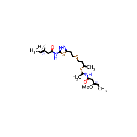 C=C(CCSCCc1nnc(NC(=O)C/C(C)=C/C)s1)SC(=C)NC(=O)C/C(=C/C)OC